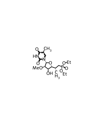 CCOP(=O)(C[C@H](C)[C@H]1O[C@@H](n2cc(C)c(=O)[nH]c2=O)[C@H](OC)[C@@H]1O)OCC